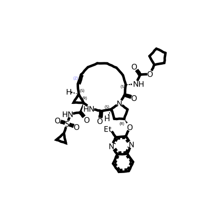 CCc1nc2ccccc2nc1O[C@@H]1C[C@H]2C(=O)N[C@]3(C(=O)NS(=O)(=O)C4CC4)C[C@H]3/C=C\CCCCC[C@H](NC(=O)OC3CCCC3)C(=O)N2C1